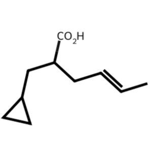 C/C=C/CC(CC1CC1)C(=O)O